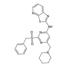 O=S(=O)(Cc1ccccc1)c1nc(CN2CCCCC2)cc(Nc2nc3cccnc3s2)n1